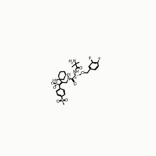 CCN(CC1=C(c2ccc(S(C)(=O)=O)cc2)S(=O)(=O)NC12CCCCC2)C(=O)[C@@H](COCc1ccc(F)c(F)c1)NC(=O)C(C)(C)N